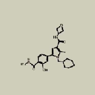 Cc1c(C(=O)NC2COC2)cc(-c2ccc(C(=O)NC(C)(C)C)c(C(C)(C)C)c2)n1CC1CCCCC1